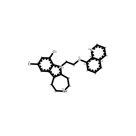 Clc1cc(Cl)c2c(c1)c1c(n2CCOc2cccc3cccnc23)CCNCC1